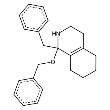 c1ccc(COC2(Cc3ccccc3)NCCC3=C2CCCC3)cc1